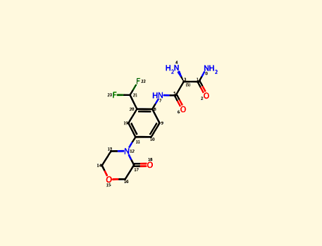 NC(=O)[C@H](N)C(=O)Nc1ccc(N2CCOCC2=O)cc1C(F)F